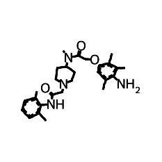 Cc1cc(OCC(=O)N(C)C2CCN(CC(=O)Nc3c(C)cccc3C)CC2)c(C)c(C)c1N